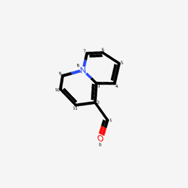 O=CC1=C2C=CC=CN2CC=C1